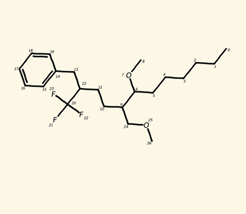 CCCCCCC(OC)C(CCC(Cc1ccccc1)C(F)(F)F)COC